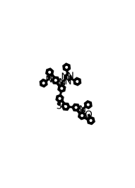 c1ccc(-c2nc(-c3ccccc3)nc(-n3c4ccc(-c5ccc6sc7ccc(-c8ccc9c(c8)c8ccc%10c%11ccccc%11oc%10c8n9-c8ccccc8)cc7c6c5)cc4c4cc5c(cc43)c3ccccc3n5-c3ccccc3)n2)cc1